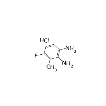 Cc1c(F)ccc(N)c1N.Cl